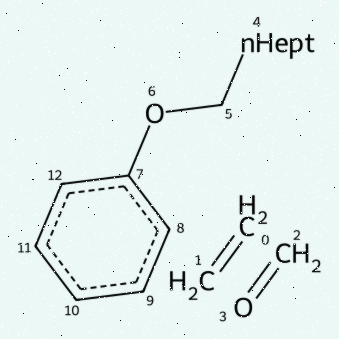 C=C.C=O.CCCCCCCCOc1ccccc1